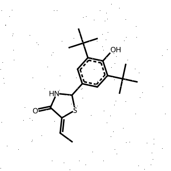 C/C=C1\SC(c2cc(C(C)(C)C)c(O)c(C(C)(C)C)c2)NC1=O